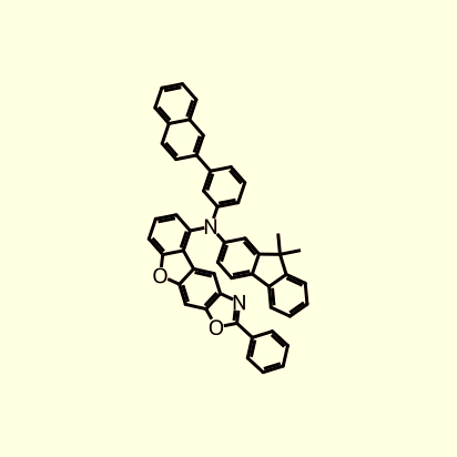 CC1(C)c2ccccc2-c2ccc(N(c3cccc(-c4ccc5ccccc5c4)c3)c3cccc4oc5cc6oc(-c7ccccc7)nc6cc5c34)cc21